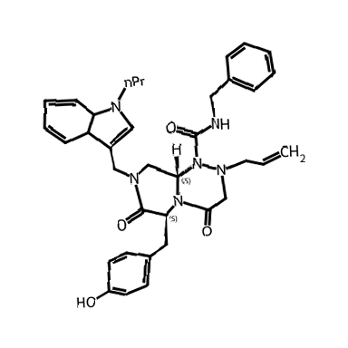 C=CCN1CC(=O)N2[C@@H](Cc3ccc(O)cc3)C(=O)N(CC3=CN(CCC)C4C=CC=CC34)C[C@@H]2N1C(=O)NCc1ccccc1